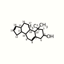 CC1(C)CC(O)CC2=CCC3C4CC=CC4CCC3C21